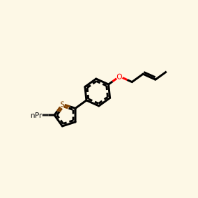 C/C=C/COc1ccc(-c2ccc(CCC)s2)cc1